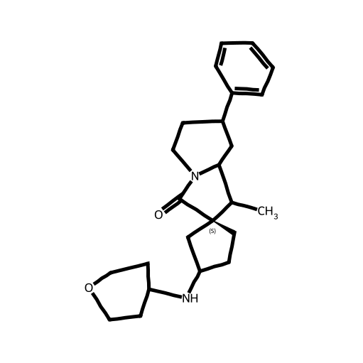 CC1C2CC(c3ccccc3)CCN2C(=O)[C@]12CCC(NC1CCOCC1)C2